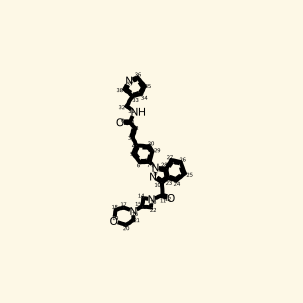 O=C(/C=C/c1ccc(-n2nc(C(=O)N3CC(N4CCOCC4)C3)c3ccccc32)cc1)NCc1cccnc1